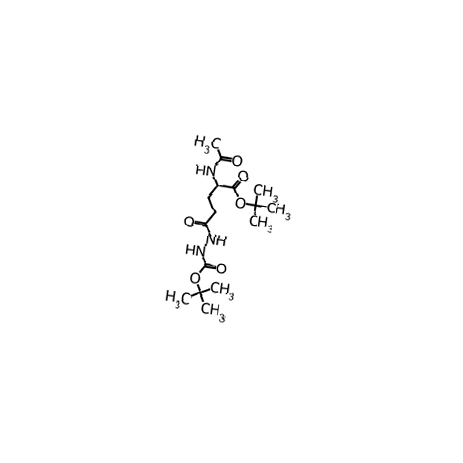 CC(=O)NC(CCC(=O)NNC(=O)OC(C)(C)C)C(=O)OC(C)(C)C